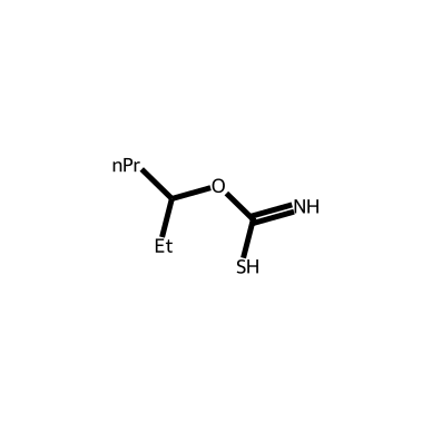 CCCC(CC)OC(=N)S